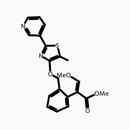 CO/C=C(/C(=O)OC)c1ccccc1COc1nc(-c2cccnc2)sc1C